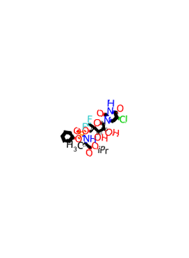 CC(C)OC(=O)[C@H](C)NP(=O)(OC[C@@]1(C(F)F)O[C@@H](n2cc(Cl)c(=O)[nH]c2=O)[C@H](O)[C@@H]1O)Oc1ccccc1